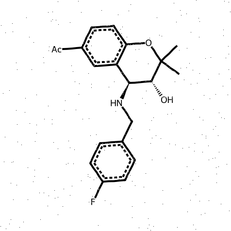 CC(=O)c1ccc2c(c1)[C@H](NCc1ccc(F)cc1)[C@@H](O)C(C)(C)O2